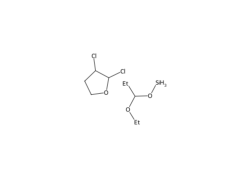 CCOC(CC)O[SiH3].ClC1CCOC1Cl